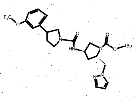 CC(C)(C)OC(=O)N1C[C@H](NC(=O)N2CCC(c3cccc(OC(F)(F)F)c3)C2)C[C@H]1Cn1cccn1